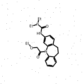 CCOCC(=O)N1c2ccccc2CCc2ccc(NC(=O)N(CC)CC)cc21